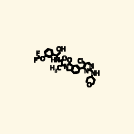 CC(C(=O)NC(CO)c1cccc(OC(F)F)c1)N1Cc2ccc(-c3nc(NC4CCOCC4)ncc3Cl)cc2C1=O